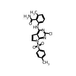 Cc1ccc(S(=O)(=O)n2ccc3c(Nc4cccc(C)c4C(N)=O)nc(Cl)nc32)cc1